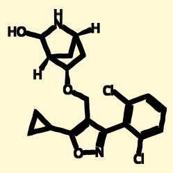 OC1N[C@@H]2C[C@@H](OCc3c(-c4c(Cl)cccc4Cl)noc3C3CC3)[C@H]1C2